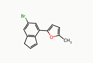 Cc1ccc(-c2cc(Br)cc3c2C=CC3)o1